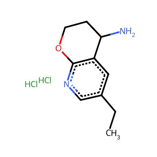 CCc1cnc2c(c1)C(N)CCO2.Cl.Cl